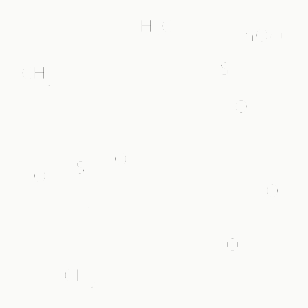 C=CCS(=O)(=O)CC=C.CCCCCCCC[S+]([O-])C(C)Cc1ccc2c(c1)OCO2